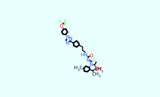 Cc1ccc(C(C)C)c(N2/C(=N/C(=O)NCCCc3ccc(-c4ncn(-c5ccc(OC(F)(F)F)cc5)n4)cc3)SCC2O)c1